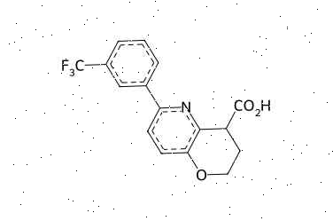 O=C(O)C1CCOc2ccc(-c3cccc(C(F)(F)F)c3)nc21